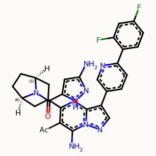 CC(=O)c1c(C2C[C@H]3CC[C@@H](C2)N3C(=O)c2cc(N)n[nH]2)nc2c(-c3ccc(-c4ccc(F)cc4F)nc3)cnn2c1N